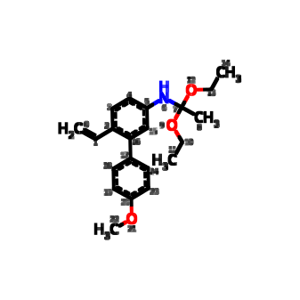 C=Cc1ccc(NC(C)(OCC)OCC)cc1-c1ccc(OC)cc1